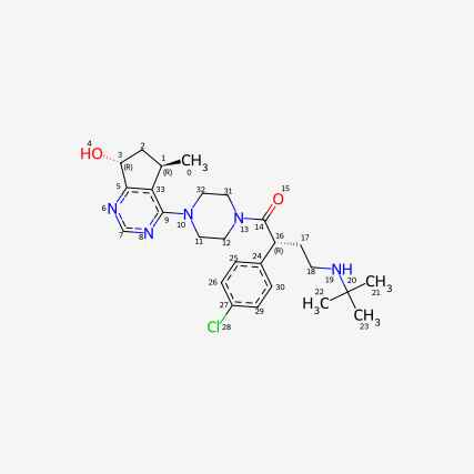 C[C@@H]1C[C@@H](O)c2ncnc(N3CCN(C(=O)[C@H](CCNC(C)(C)C)c4ccc(Cl)cc4)CC3)c21